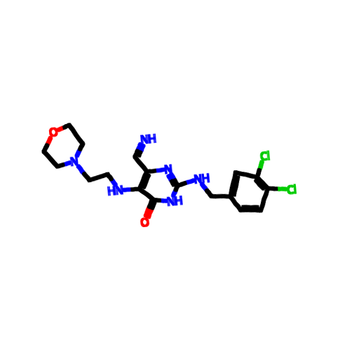 N=Cc1nc(NCc2ccc(Cl)c(Cl)c2)[nH]c(=O)c1NCCN1CCOCC1